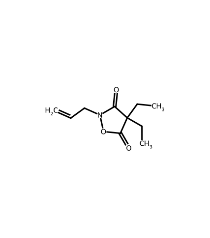 C=CCN1OC(=O)C(CC)(CC)C1=O